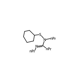 CCCN=C(CCC)N(CCC)SC1CCCCC1